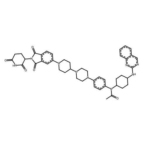 CC(=O)N(c1ccc(N2CCN(C3CCN(c4ccc5c(c4)C(=O)N(C4CCC(=O)NC4=O)C5=O)CC3)CC2)cc1)C1CCC(Nc2ncc3ccccc3n2)CC1